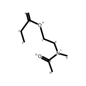 C=C(CC)OCCN(C)C(C)=O